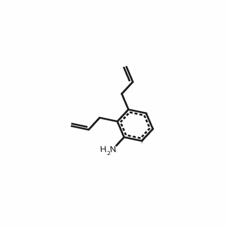 C=CCc1cc[c]c(N)c1CC=C